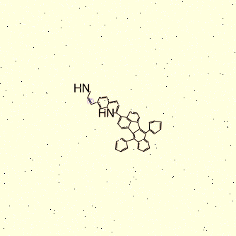 N=C/C=C\C1=CC2NC(c3ccc4c5c(cccc35)-c3c-4c(-c4ccccc4)c4ccccc4c3-c3ccccc3)=CC=C2C=C1